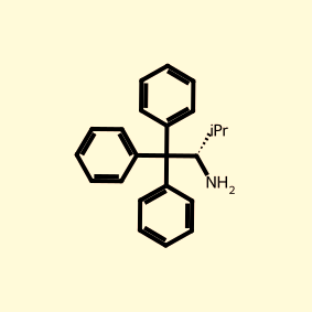 CC(C)[C@H](N)C(c1ccccc1)(c1ccccc1)c1ccccc1